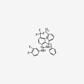 Cc1cccc(C(Cc2ccccc2)(NC(=O)Nc2ccc(F)c(F)c2)c2cccc(C(F)(F)F)c2)n1